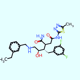 CCc1cccc(CNC[C@H](O)[C@@H](Cc2cc(F)cc(F)c2)C(CC(=O)Nc2nnc(C)s2)C(N)=O)c1